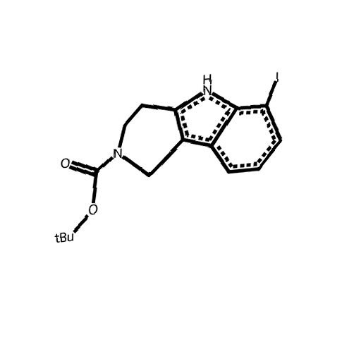 CC(C)(C)OC(=O)N1CCc2[nH]c3c(I)cccc3c2C1